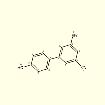 CCCc1cc(C#N)cc(-c2ccc(O)cc2)c1